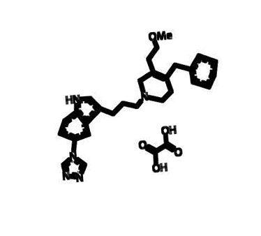 COCCC1=C(Cc2ccccc2)CCN(CCCc2c[nH]c3ccc(-n4cnnc4)cc23)C1.O=C(O)C(=O)O